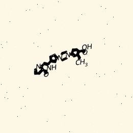 CCc1cc(N2CCN(C3C=C(c4cc5ncccc5c(=O)[nH]4)CC3)CC2)ccc1C(=O)O